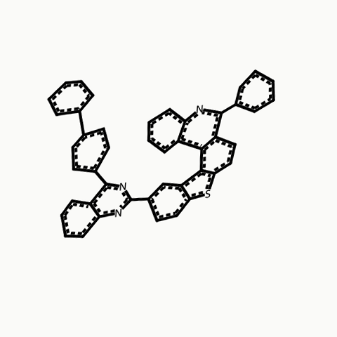 c1ccc(-c2ccc(-c3nc(-c4ccc5sc6ccc7c(-c8ccccc8)nc8ccccc8c7c6c5c4)nc4ccccc34)cc2)cc1